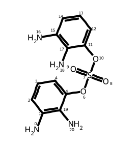 Nc1cccc(OS(=O)(=O)Oc2cccc(N)c2N)c1N